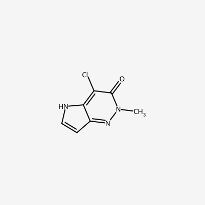 Cn1nc2cc[nH]c2c(Cl)c1=O